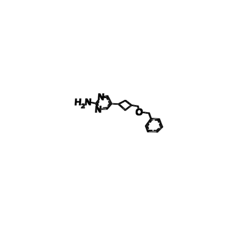 Nc1ncc(C2CC(COCc3ccccc3)C2)cn1